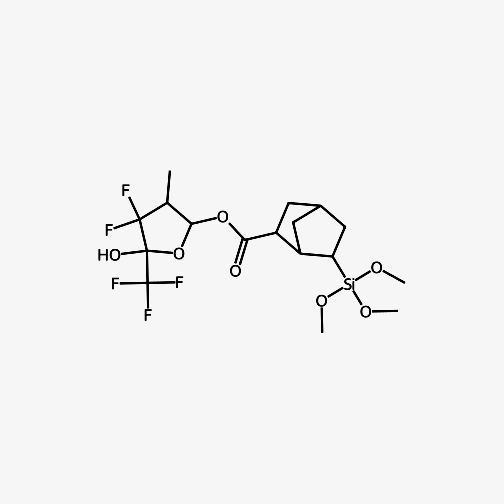 CO[Si](OC)(OC)C1CC2CC(C(=O)OC3OC(O)(C(F)(F)F)C(F)(F)C3C)C1C2